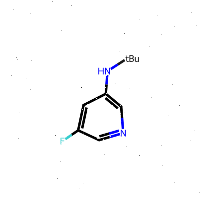 CC(C)(C)Nc1cncc(F)c1